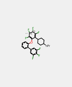 CCCC1CCC(C2=C(F)[C@H](F)[C@](C)(F)C(F)=C2Oc2ccccc2-c2cc(F)c(F)c(F)c2)CC1